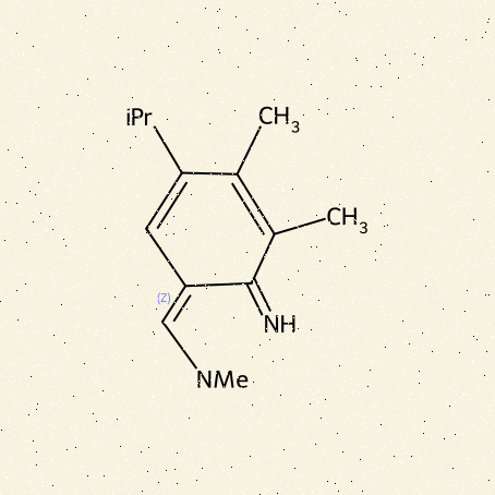 CN/C=C1/C=C(C(C)C)C(C)=C(C)C1=N